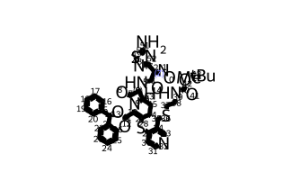 CO/N=C(\C(=O)N[C@@H]1C(=O)N2C(C(=O)OC(c3ccccc3)c3ccccc3)=C(Sc3ccncc3CSCCNC(=O)OC(C)(C)C)CC[C@H]12)c1nsc(N)n1